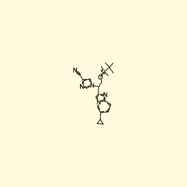 CC(C)(C)[Si](C)(C)OCC(c1cn2cc(C3CC3)ccc2n1)n1cnc(C#N)c1